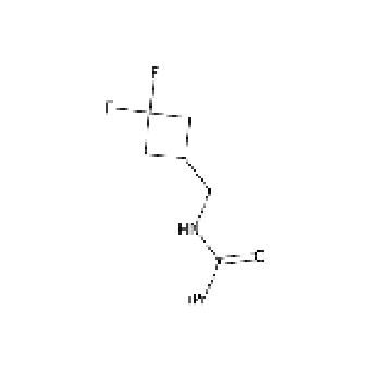 CC(C)C(=O)NCC1CC(F)(F)C1